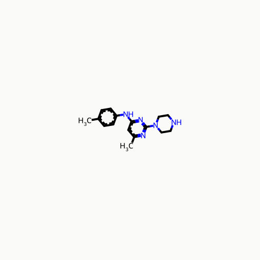 Cc1ccc(Nc2cc(C)nc(N3CCNCC3)n2)cc1